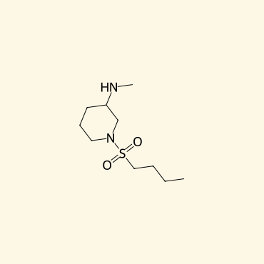 CCCCS(=O)(=O)N1CCCC(NC)C1